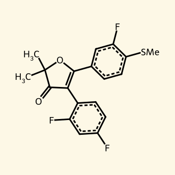 CSc1ccc(C2=C(c3ccc(F)cc3F)C(=O)C(C)(C)O2)cc1F